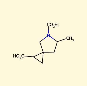 CCOC(=O)N1CC2(CC1C)CC2C(=O)O